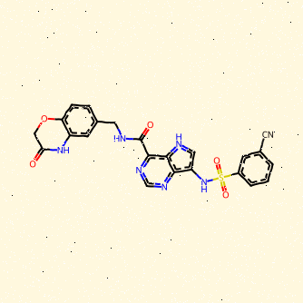 N#Cc1cccc(S(=O)(=O)Nc2c[nH]c3c(C(=O)NCc4ccc5c(c4)NC(=O)CO5)ncnc23)c1